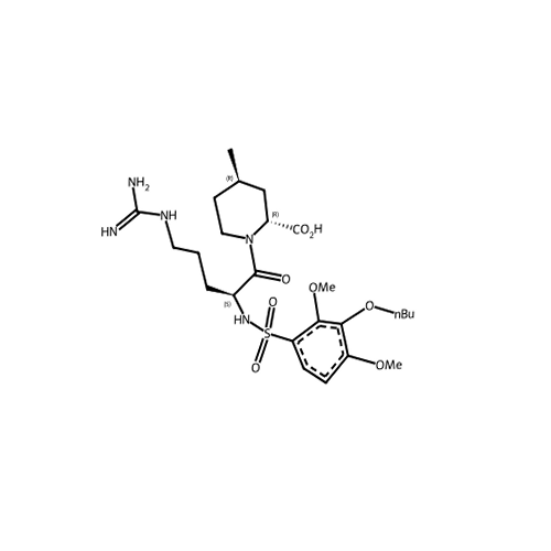 CCCCOc1c(OC)ccc(S(=O)(=O)N[C@@H](CCCNC(=N)N)C(=O)N2CC[C@@H](C)C[C@@H]2C(=O)O)c1OC